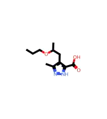 CCCOC(C)Cc1c(C)n[nH]c1C(=O)O